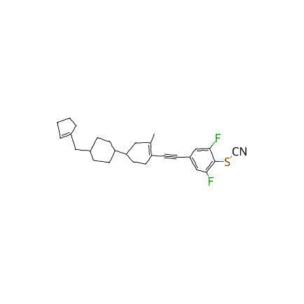 CC1=C(C#Cc2cc(F)c(SC#N)c(F)c2)CCC(C2CCC(CC3=CCCC3)CC2)C1